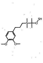 COc1ccc(CCCS(C)(C)C(C)(C)OS)cc1OC